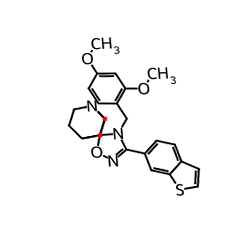 COc1ccc(CN2C(c3ccc4ccsc4c3)=NOC23CN2CCC3CC2)c(OC)c1